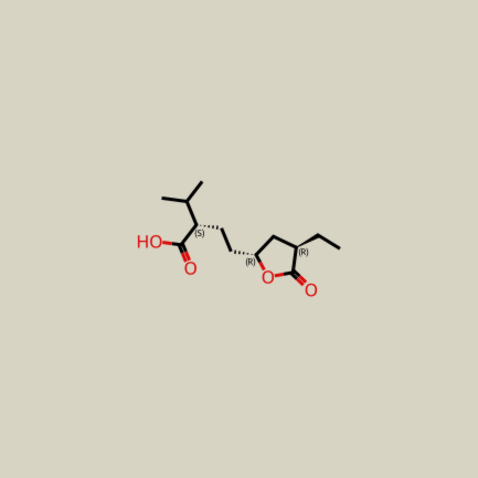 CC[C@@H]1C[C@@H](CC[C@H](C(=O)O)C(C)C)OC1=O